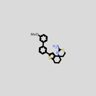 COc1cccc(-c2cccc(-c3cc4c(s3)CCCC43CCSC(N)=N3)c2)c1